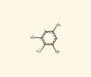 Cc1c(O)cc(O)cc1O